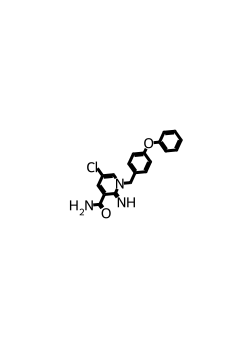 N=c1c(C(N)=O)cc(Cl)cn1Cc1ccc(Oc2ccccc2)cc1